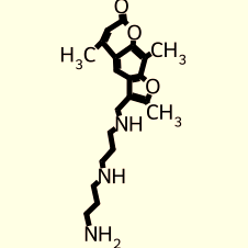 Cc1oc2c(C)c3oc(=O)cc(C)c3cc2c1CNCCCNCCCN